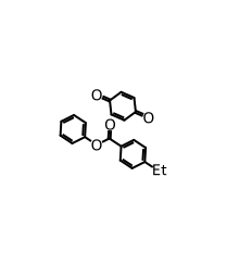 CCc1ccc(C(=O)Oc2ccccc2)cc1.O=C1C=CC(=O)C=C1